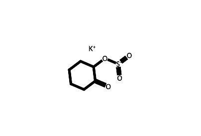 O=C1CCCCC1O[S-](=O)=O.[K+]